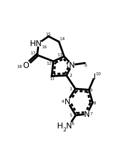 Cn1c(-c2nc(N)ncc2I)cc2c1CCNC2=O